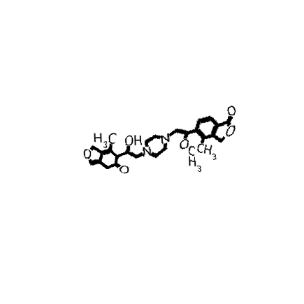 COC(CN1CCN(CC(O)C2C(=O)CC3=COCC3=C2C)CC1)c1ccc2c(c1C)COC2=O